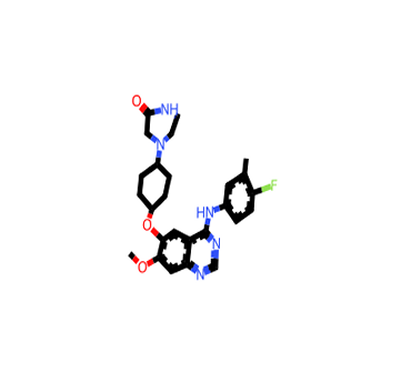 COc1cc2ncnc(Nc3ccc(F)c(C)c3)c2cc1OC1CCC(N2CCNC(=O)C2)CC1